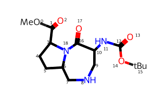 COC(=O)C1CCC2CNCC(NC(=O)OC(C)(C)C)C(=O)N21